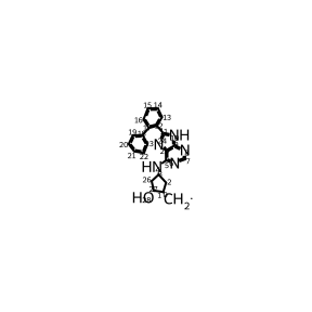 [CH2][C@H]1C[C@@H](Nc2ncnc3[nH]c(-c4ccccc4-c4ccccc4)nc23)C[C@@H]1O